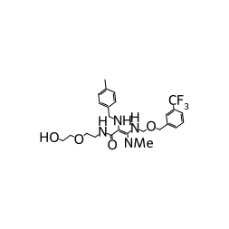 CN/C(NCOCc1cccc(C(F)(F)F)c1)=C(/NCc1ccc(C)cc1)C(=O)NCCOCCO